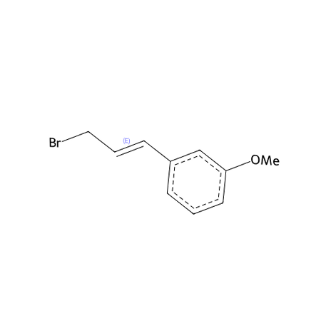 COc1cccc(/C=C/CBr)c1